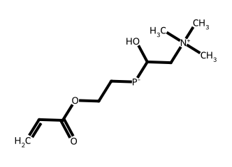 C=CC(=O)OCC[P-]C(O)C[N+](C)(C)C